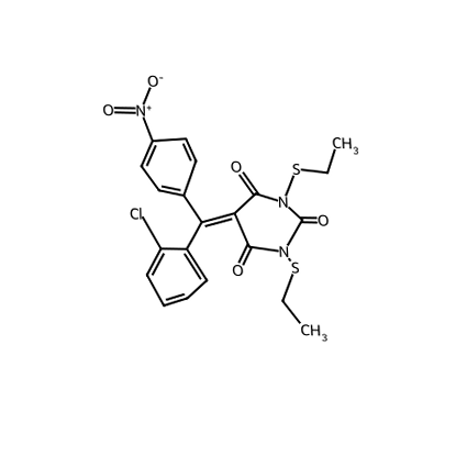 CCSN1C(=O)C(=C(c2ccc([N+](=O)[O-])cc2)c2ccccc2Cl)C(=O)N(SCC)C1=O